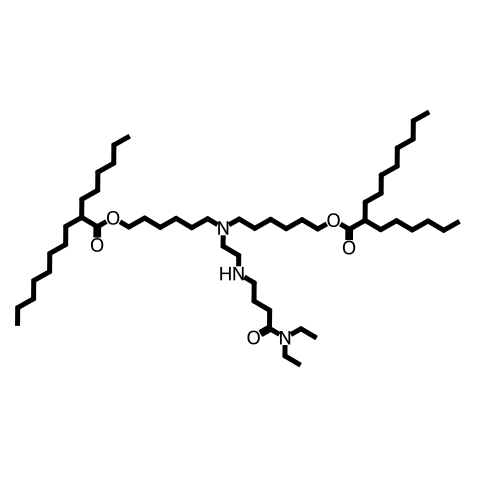 CCCCCCCCC(CCCCCC)C(=O)OCCCCCCN(CCCCCCOC(=O)C(CCCCCC)CCCCCCCC)CCNCCCC(=O)N(CC)CC